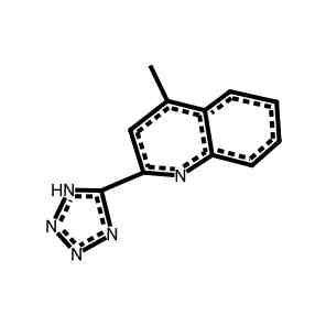 Cc1cc(-c2nnn[nH]2)nc2ccccc12